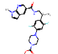 CCn1ccc2cc(C(=O)NC[C@H](C)c3cc(F)c(N4CCN(C(=O)OC(C)(C)C)CC4)cc3F)cnc21